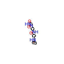 O=C1CCN(c2ccc(NC(=O)c3ccc(CNC45CC6CC(CC(C6)C4)C5)cc3)cc2)C(=O)N1